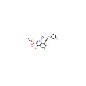 CCOC(=O)c1cn(C2CC2)c2c(C#CC[C@@H]3CC[C@H](C)C3)c(F)c(F)cc2c1=O